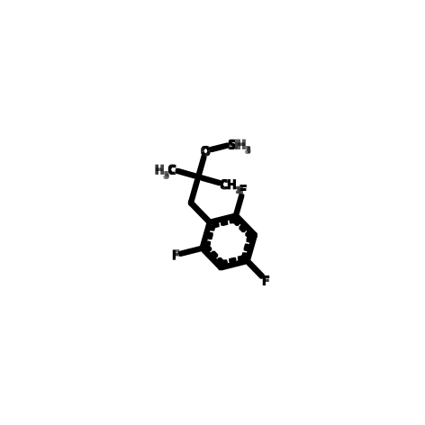 CC(C)(Cc1c(F)cc(F)cc1F)O[SiH3]